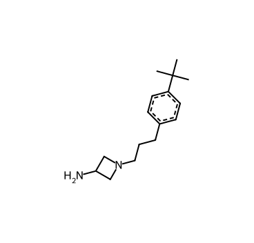 CC(C)(C)c1ccc(CCCN2CC(N)C2)cc1